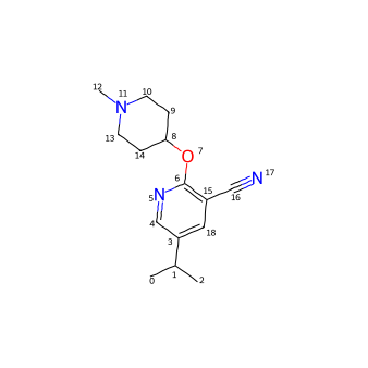 CC(C)c1cnc(OC2CCN(C)CC2)c(C#N)c1